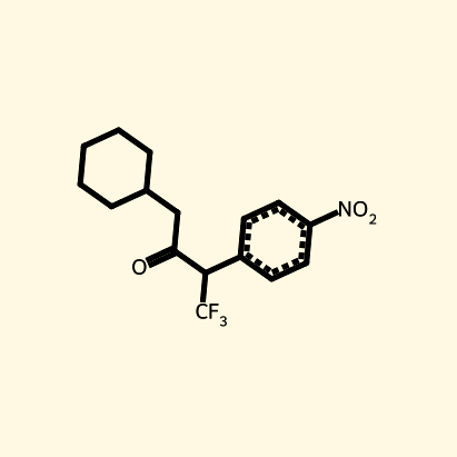 O=C(CC1CCCCC1)C(c1ccc([N+](=O)[O-])cc1)C(F)(F)F